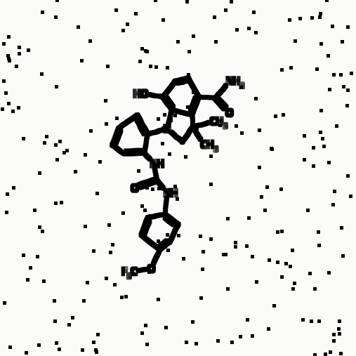 CC1(C)CN(c2ccccc2NC(=O)Nc2ccc(OC(F)(F)F)cc2)c2c(O)ccc(C(N)=O)c21